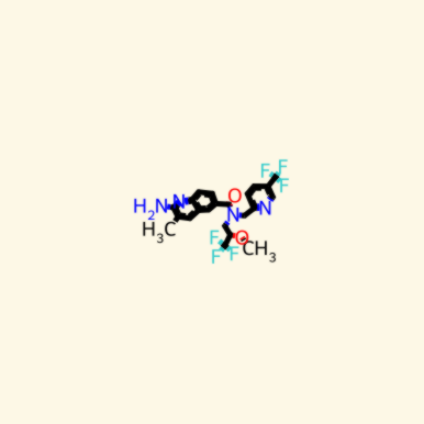 COC(CN(Cc1ccc(C(F)(F)F)cn1)C(=O)c1ccc2nc(N)c(C)cc2c1)C(F)(F)F